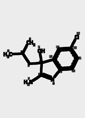 CC(C)CC1(O)C(N)=Nc2ccc(Cl)cc21